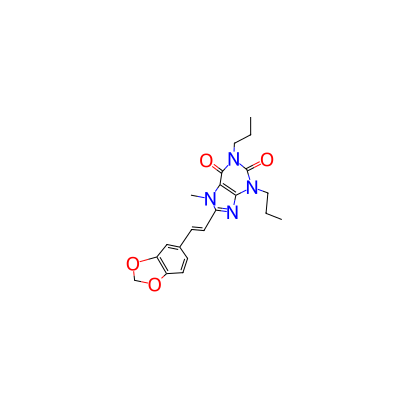 CCCn1c(=O)c2c(nc(/C=C/c3ccc4c(c3)OCO4)n2C)n(CCC)c1=O